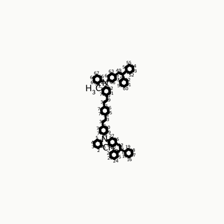 Cc1ccccc1N(c1ccc(C=C(c2ccccc2)c2ccccc2)cc1)c1ccc(/C=C/c2ccc(/C=C/c3ccc(N(c4ccc(C=C(c5ccccc5)c5ccccc5)cc4)c4ccccc4C)cc3)cc2)cc1